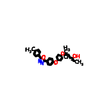 CCC(O)CCC(C)(C)Oc1ccc(Oc2ccc(-c3nnc(-c4ccc(C)cc4)o3)cc2)cc1